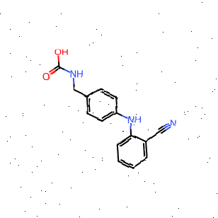 N#Cc1ccccc1Nc1ccc(CNC(=O)O)cc1